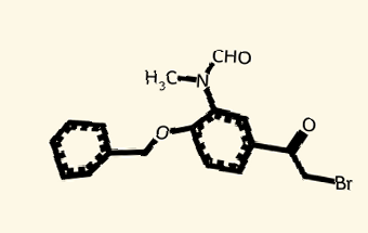 CN(C=O)c1cc(C(=O)CBr)ccc1OCc1ccccc1